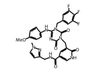 COc1ccc(Nc2nc(=O)n(Cc3cc(C(=O)NCc4ccn(C)n4)c[nH]c3=O)c(=O)n2Cc2cc(F)c(F)c(F)c2)cc1